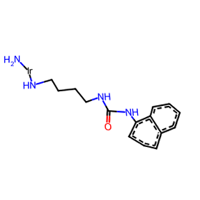 [NH2][Ir][NH]CCCCNC(=O)Nc1cccc2ccccc12